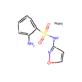 Nc1ccccc1S(=O)(=O)Nc1ccon1.[NaH]